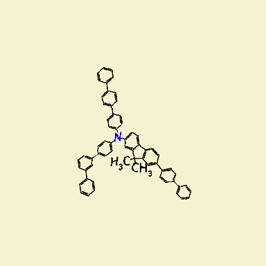 CC1(C)c2cc(-c3ccc(-c4ccccc4)cc3)ccc2-c2ccc(N(c3ccc(-c4ccc(-c5ccccc5)cc4)cc3)c3ccc(-c4cccc(-c5ccccc5)c4)cc3)cc21